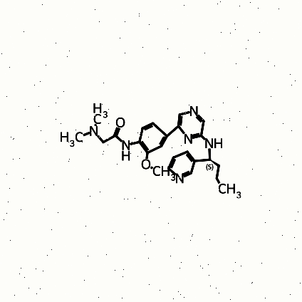 CCC[C@H](Nc1cncc(-c2ccc(NC(=O)CN(C)C)c(OC)c2)n1)c1cccnc1